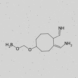 BOCOC1CCCC(C=N)/C(=C\N)CC1